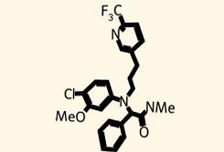 CNC(=O)C(c1ccccc1)N(CCCc1ccc(C(F)(F)F)nc1)c1ccc(Cl)c(OC)c1